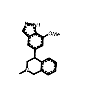 COc1cc(C2CN(C)Cc3ccccc32)cc2cn[nH]c12